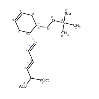 CCCCCCCCC(/C=C/C=C/[C@@H]1CC=CC[C@@H]1CO[Si](C)(C)C(C)(C)C)OC(C)=O